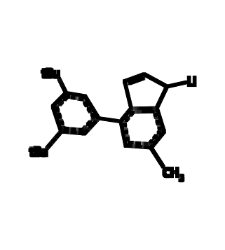 [Li][CH]1C=Cc2c(-c3cc(C(C)(C)C)cc(C(C)(C)C)c3)cc(C)cc21